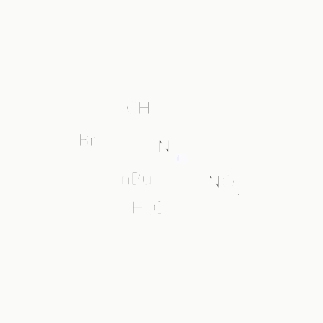 CCCCC(C)(Br)/N=C(\C)[N+](=O)[O-]